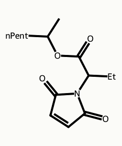 CCCCCC(C)OC(=O)C(CC)N1C(=O)C=CC1=O